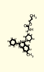 CCCOC(=O)NC[C@@H]1CCCN(c2nc(-c3ccccc3)nc3cc(C)ccc23)C1